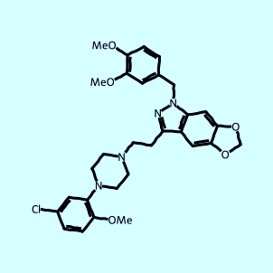 COc1ccc(Cn2nc(CCN3CCN(c4cc(Cl)ccc4OC)CC3)c3cc4c(cc32)OCO4)cc1OC